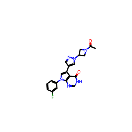 CC(=O)N1CC(n2cc(-c3cn(-c4cccc(F)c4)c4nc[nH]c(=O)c34)cn2)C1